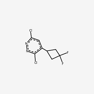 FC1(F)CC(c2cc(Cl)nnc2Cl)C1